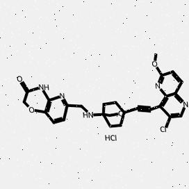 COc1ccc2ncc(Cl)c(C#CC34CCC(NCc5ccc6c(n5)NC(=O)CO6)(CC3)CC4)c2n1.Cl